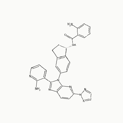 Nc1ccccc1C(=O)N[C@H]1CCc2cc(-n3c(-c4cccnc4N)nc4ccc(-n5nccn5)nc43)ccc21